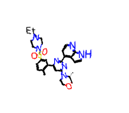 CCN1CCN(S(=O)(=O)c2ccc(C)c(-c3cc(N4CCOC[C@H]4C)nc(-c4ccnc5[nH]ccc45)n3)c2)CC1